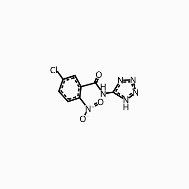 O=C(Nc1nnn[nH]1)c1cc(Cl)ccc1[N+](=O)[O-]